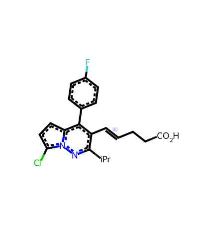 CC(C)c1nn2c(Cl)ccc2c(-c2ccc(F)cc2)c1/C=C/CCC(=O)O